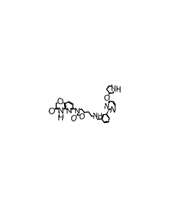 O=C1COc2ccc(N3CC(CCNCc4cccc(-c5nccc(OC6CCNC6)n5)c4)OC3=O)nc2N1